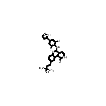 CC(C)(O)C=Cc1ccc2nc(Nc3c(Cl)cc(-c4ccn[nH]4)cc3Cl)c3cc[nH]c(=O)c3c2c1